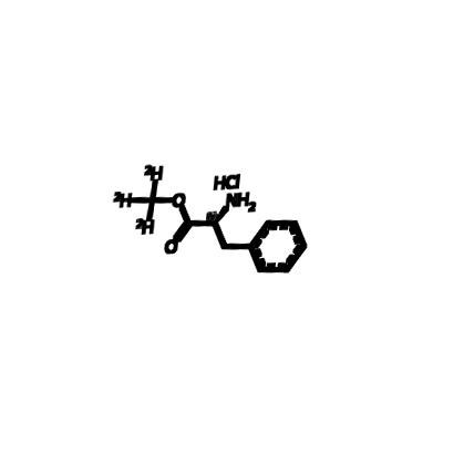 Cl.[2H]C([2H])([2H])OC(=O)[C@@H](N)Cc1ccccc1